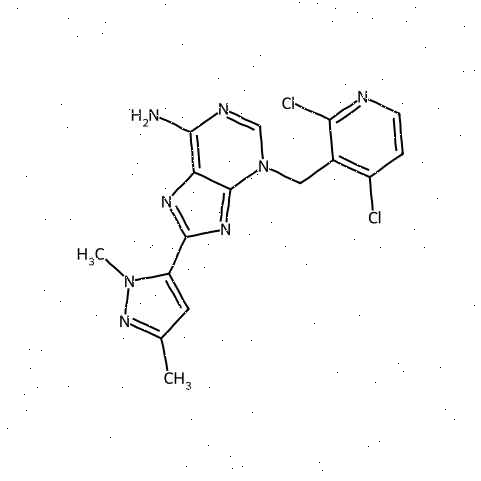 Cc1cc(-c2nc3c(N)ncn(Cc4c(Cl)ccnc4Cl)c-3n2)n(C)n1